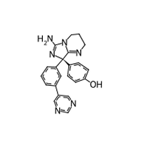 NC1=N[C@@](c2ccc(O)cc2)(c2cccc(-c3cncnc3)c2)C2=NCCCN12